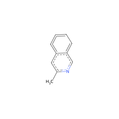 Cc1cc2c(cn1)=CC=C=C=2